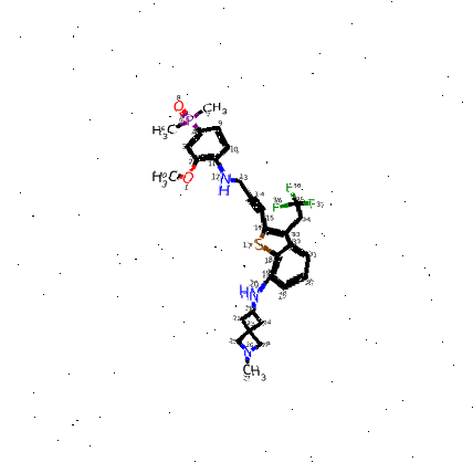 COc1cc(P(C)(C)=O)ccc1NCC#Cc1sc2c(NC3CC4(C3)CN(C)C4)cccc2c1CC(F)(F)F